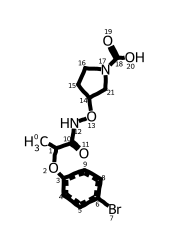 CC(Oc1ccc(Br)cc1)C(=O)NOC1CCN(C(=O)O)C1